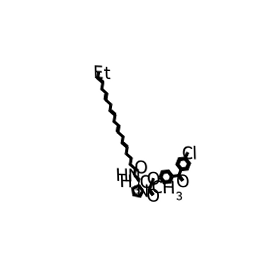 CCC=CCC=CCC=CCC=CCC=CCCCC(=O)NC[C@@H]1CCCN1C(=O)C(C)(C)Oc1ccc(C(=O)c2ccc(Cl)cc2)cc1